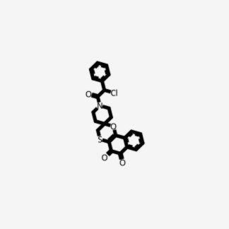 O=C1C(=O)c2ccccc2C2=C1SCC1(CCN(C(=O)C(Cl)c3ccccc3)CC1)O2